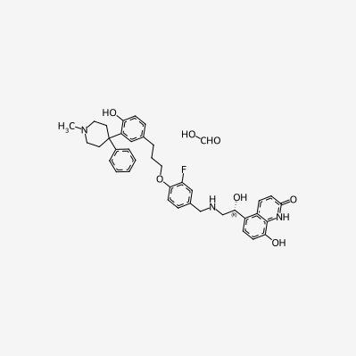 CN1CCC(c2ccccc2)(c2cc(CCCOc3ccc(CNC[C@H](O)c4ccc(O)c5[nH]c(=O)ccc45)cc3F)ccc2O)CC1.O=CO